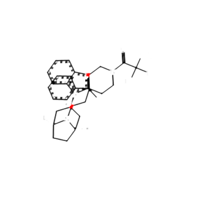 CCOC(=O)C(CC)(CC)C(=O)N1CCC(CCN2[C@@H]3CC[C@H]2C[C@@H](n2c(C)nc4ccccc42)C3)(c2ccccc2)CC1